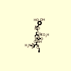 C#CCON=C(C(=O)N[C@@H]1C(=O)N2C(OC(=O)O)=C(CSc3nnc(-c4ccc(O)c(O)c4)o3)CS[C@@H]12)c1csc(N)n1